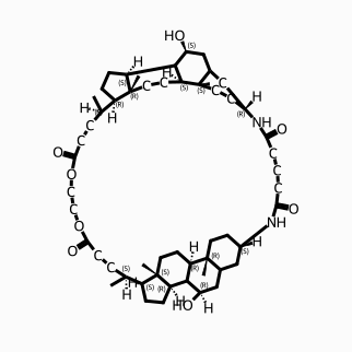 C[C@@H]1CCC(=O)OCCOC(=O)CC[C@H](C)[C@@H]2CC[C@@H]3C4[C@H](O)CC5C[C@H](CC[C@@]5(C)[C@@H]4CC[C@]32C)NC(=O)CCCC(=O)N[C@@H]2CC[C@@]3(C)C(C2)C[C@H](O)C2[C@@H]4CC[C@H]1[C@@]4(C)CC[C@@H]23